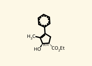 CCOC(=O)[C@H]1CC(c2ccccc2)=C(C)[C@@H]1O